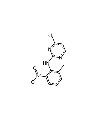 Cc1cccc([N+](=O)[O-])c1Nc1nccc(Cl)n1